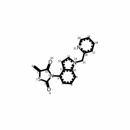 C=C1SC(=O)N(c2cccc3c2ccn3Cc2ccccn2)C1=O